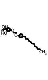 CCCCCCCCCCCCc1ccc(OCCOc2ccc(C(=O)O)c(O)c2)cc1